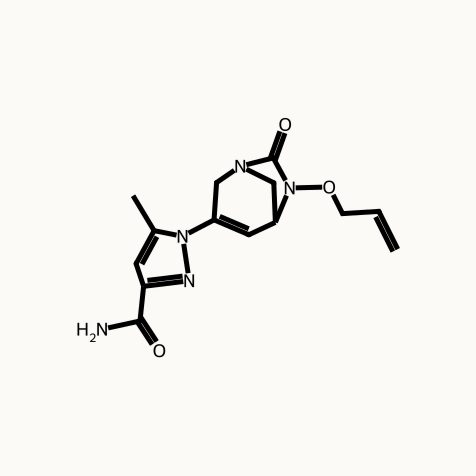 C=CCON1C(=O)N2CC(n3nc(C(N)=O)cc3C)=CC1C2